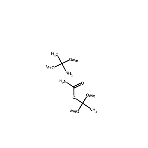 COC(C)(N)OC.COC(C)(OC)OC(N)=O